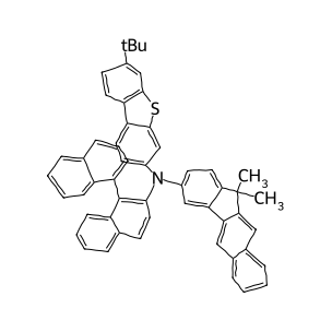 CC(C)(C)c1ccc2c(c1)sc1cc(N(c3ccc4c(c3)-c3cc5ccccc5cc3C4(C)C)c3ccc4ccccc4c3-c3cccc4ccccc34)ccc12